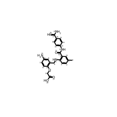 Cc1ccc(NCc2cc(N)ccc2OCC(=O)O)c(C(=O)Nc2ccc(C(=N)N)cc2)c1